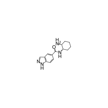 N[C@H]1CCCC[C@H]1NC(=O)c1ccc2[nH]ncc2c1